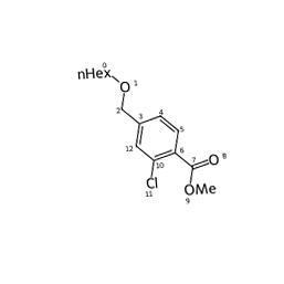 CCCCCCOCc1ccc(C(=O)OC)c(Cl)c1